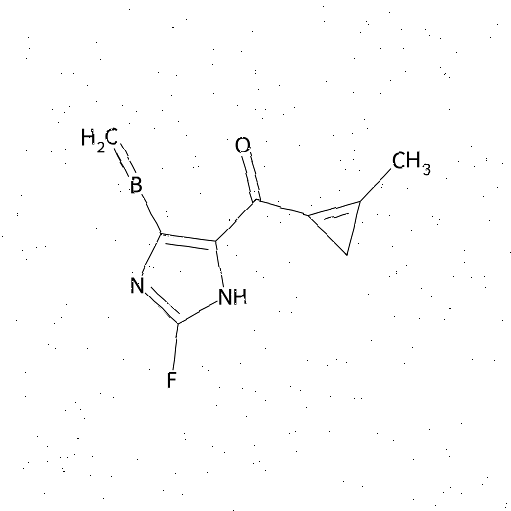 C=Bc1nc(F)[nH]c1C(=O)C1=C(C)C1